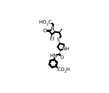 CC[C@H]1C(=O)N(CC(=O)O)[C@@H]1[C@@H](C)CS[C@@H]1CN[C@H](C(=O)Nc2cccc(C(=O)O)c2)C1